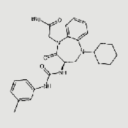 Cc1cccc(NC(=O)N[C@@H]2CN(C3CCCCC3)c3ccccc3N(CC(=O)C(C)(C)C)C2=O)c1